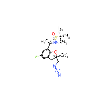 C[C@@H](N[S@+]([O-])C(C)(C)C)c1cc(F)cc2c1O[C@](C)(CN=[N+]=[N-])C2